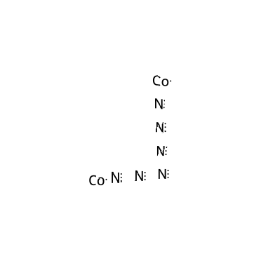 [Co].[Co].[N].[N].[N].[N].[N].[N]